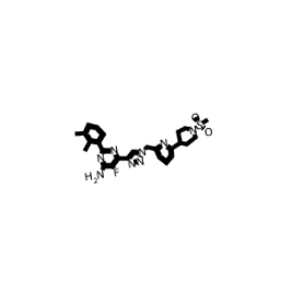 Cc1cccc(-c2nc(N)c(F)c(-c3cn(Cc4cccc(C5CCN(S(C)(=O)=O)CC5)n4)nn3)n2)c1C